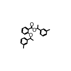 Cc1cccc(C(C)OC(=O)c2ccccc2OC(C)c2cccc(C)c2)c1